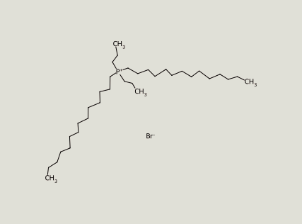 CCCCCCCCCCCCCC[P+](CCC)(CCC)CCCCCCCCCCCCCC.[Br-]